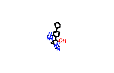 OC(C(c1ccc(-c2ccccc2)cc1)C1(n2cncn2)CC1)n1cncn1